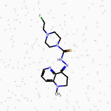 CN1CC/C(=N/NC(=S)N2CCN(CCF)CC2)c2ncccc21